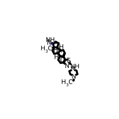 CCN1CCN(Nc2nc3c(s2)C2=CC[C@@H]4[C@H](CC[C@]5(C)/C(=N/N)CC[C@@H]45)[C@@]2(C)CC3)CC1